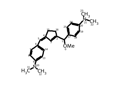 COC(C1=CC(=Cc2ccc(N(C)C)cc2)CC1)c1ccc(N(C)C)cc1